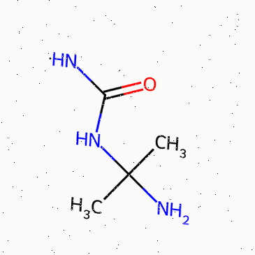 CC(C)(N)NC([NH])=O